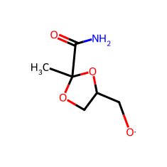 CC1(C(N)=O)OCC(C[O])O1